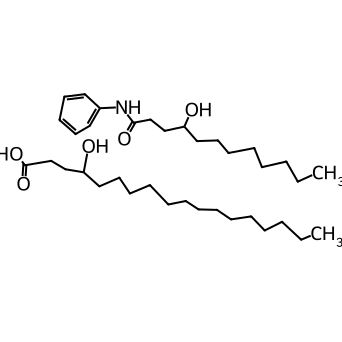 CCCCCCCCC(O)CCC(=O)Nc1ccccc1.CCCCCCCCCCCCCCC(O)CCC(=O)O